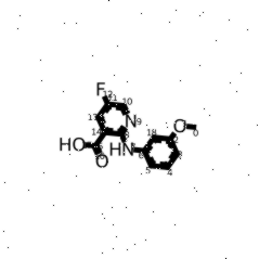 COc1cccc(Nc2ncc(F)cc2C(=O)O)c1